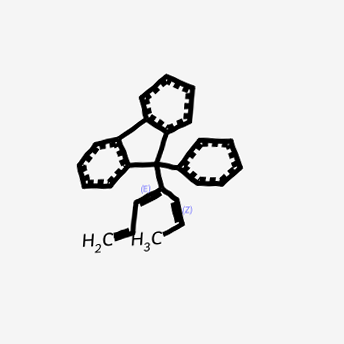 C=C/C=C(\C=C/C)C1(c2ccccc2)c2ccccc2-c2ccccc21